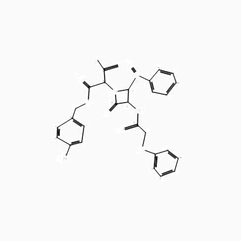 C=C(C)C(C(=O)OCc1ccc([N+](=O)[O-])cc1)N1C(=O)C(NC(=O)COc2ccccc2)C1S(=S)c1ccccc1